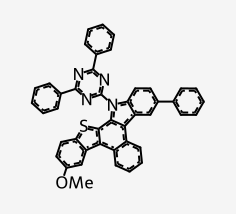 COc1ccc2sc3c(c2c1)c1ccccc1c1c2cc(-c4ccccc4)ccc2n(-c2nc(-c4ccccc4)nc(-c4ccccc4)n2)c31